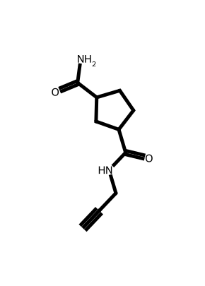 C#CCNC(=O)C1CCC(C(N)=O)C1